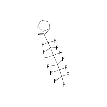 FC(F)(F)C(F)(F)C(F)(F)C(F)(F)C(F)(F)C(F)(F)C1=CC2CCC1C2